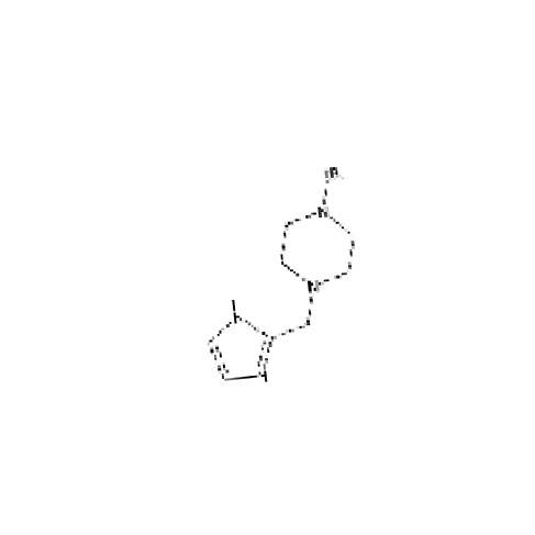 CC(C)(C)N1CCN(Cc2ncc[nH]2)CC1